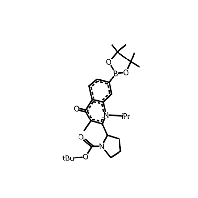 Cc1c(C2CCCN2C(=O)OC(C)(C)C)n(C(C)C)c2cc(B3OC(C)(C)C(C)(C)O3)ccc2c1=O